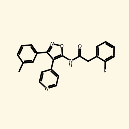 Cc1cccc(-c2noc(NC(=O)Cc3ccccc3F)c2-c2ccncc2)c1